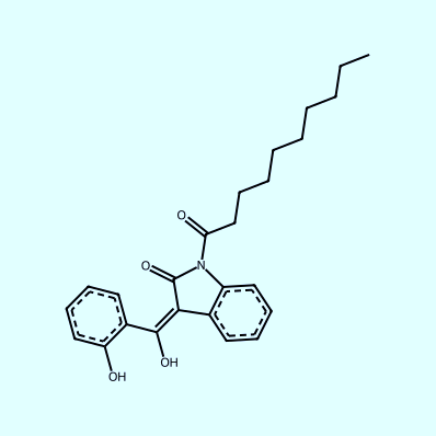 CCCCCCCCCC(=O)N1C(=O)C(=C(O)c2ccccc2O)c2ccccc21